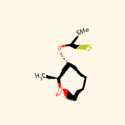 CSC(=S)O[C@@H]1CCCO[C@H]1C